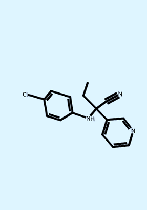 CCC(C#N)(Nc1ccc(Cl)cc1)c1cccnc1